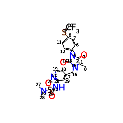 CC1C(=O)N(c2ccc(SC(F)(F)F)cc2)C(=O)N1Cc1ccnc(NS(=O)(=O)N(C)C)c1